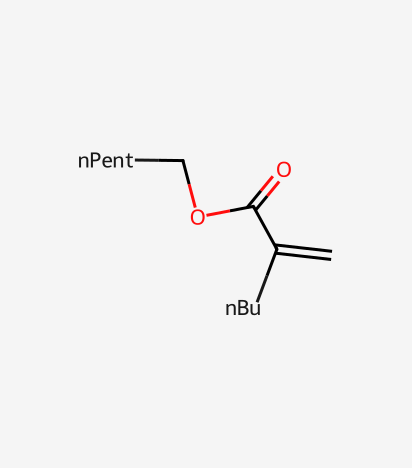 C=C(CCCC)C(=O)OCCCCCC